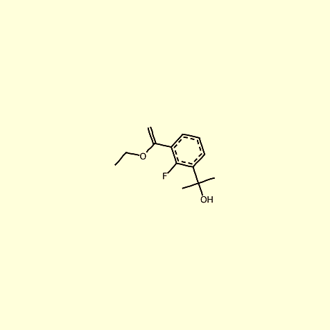 C=C(OCC)c1cccc(C(C)(C)O)c1F